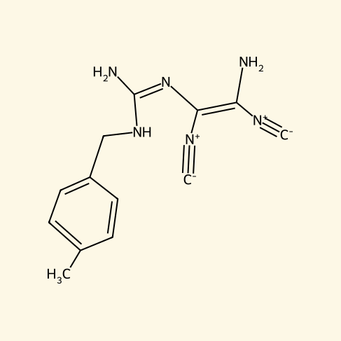 [C-]#[N+]/C(N)=C(/N=C(/N)NCc1ccc(C)cc1)[N+]#[C-]